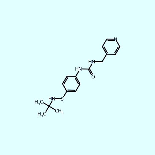 CC(C)(C)NSc1ccc(NC(=O)NCc2ccncc2)cc1